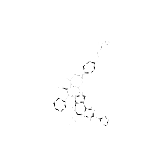 COCCOc1ccc(N2CC(C)N(C(=O)C(c3ccccc3)n3ncc4c3nc(N)n3nc(-c5ccco5)nc43)C(C)C2)cc1